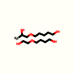 CC(O)COCCCCCO.OCCCCOCCO